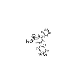 OB(O)c1cc(-c2ccncc2)cc(-c2ccncc2)c1